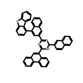 c1ccc2cc(C3N=C(c4cc(-c5cccc6oc7ccccc7c56)c5ccccc5c4)N=C(c4cc5ccccc5c5ccccc45)N3)ccc2c1